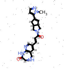 Cn1nccc1C1=CC2CN(C(=O)/C=C/c3cnc4c(c3)CNCC(=O)N4)CC2C1